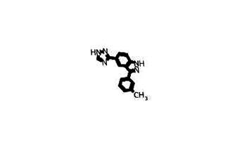 Cc1cccc(-c2n[nH]c3ccc(-c4nc[nH]n4)cc23)c1